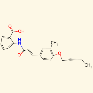 CCC#CCOc1ccc(/C=C/C(=O)Nc2ccccc2C(=O)O)cc1C